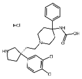 Cl.O=C(O)NC1(c2ccccc2)CCN(CC[C@]2(c3ccc(Cl)c(Cl)c3)CCNC2)CC1